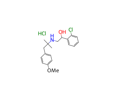 COc1ccc(CC(C)(C)NCC(O)c2ccccc2Cl)cc1.Cl